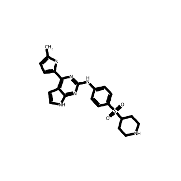 Cc1ccc(-c2nc(Nc3ccc(S(=O)(=O)C4CCNCC4)cc3)nc3[nH]ccc23)s1